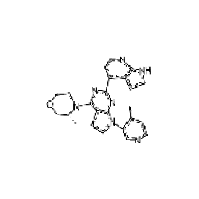 Cc1ccncc1-n1ccc2c(N3CCOC[C@H]3C)nc(-c3ccnc4[nH]ccc34)nc21